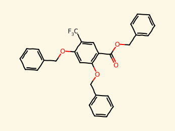 O=C(OCc1ccccc1)c1cc(C(F)(F)F)c(OCc2ccccc2)cc1OCc1ccccc1